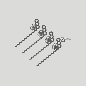 CCCCCCCCCCCCCCCCCCc1ccc2cc3ccccc3cc2c1S(=O)(=O)[O-].CCCCCCCCCCCCCCCCCCc1ccc2cc3ccccc3cc2c1S(=O)(=O)[O-].CCCCCCCCCCCCCCCCCCc1ccc2cc3ccccc3cc2c1S(=O)(=O)[O-].CCCCCCCCCCCCCCCCCCc1ccc2cc3ccccc3cc2c1S(=O)(=O)[O-].[Zr+4]